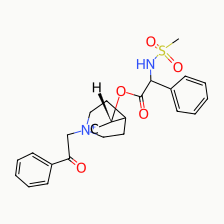 CS(=O)(=O)NC(C(=O)O[C@H]1C[N+]2(CC(=O)c3ccccc3)CCC1CC2)c1ccccc1